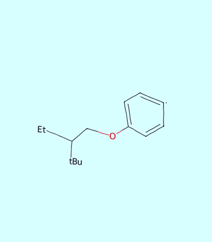 CCC(COc1cc[c]cc1)C(C)(C)C